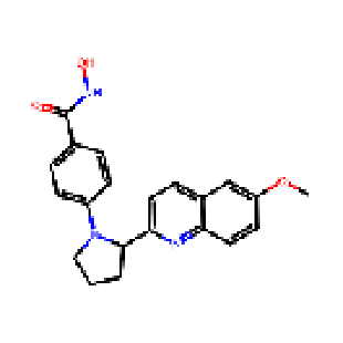 COc1ccc2nc(C3CCCN3c3ccc(C(=O)NO)cc3)ccc2c1